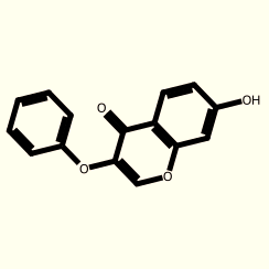 O=c1c(Oc2ccccc2)coc2cc(O)ccc12